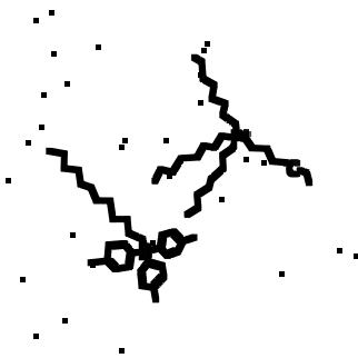 CCCCCCCCCCCC[B-](c1ccc(C)cc1)(c1ccc(C)cc1)c1ccc(C)cc1.CCCCCCCC[P+](CCCCCCCC)(CCCCCCCC)CCCCCCCC